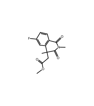 COC(=O)CC1(C)C(=O)N(C)C(=O)c2ccc(F)cc21